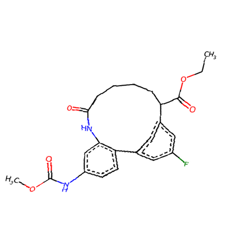 CCOC(=O)C1CCCCC(=O)Nc2cc(NC(=O)OC)ccc2-c2cc(F)cc1c2